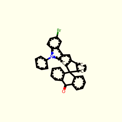 O=C1c2ccccc2C2(c3ccccc31)c1ccccc1-c1cc3c4cc(Br)ccc4n(-c4ccccc4)c3cc12